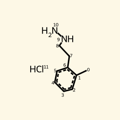 Cc1ccccc1CCNN.Cl